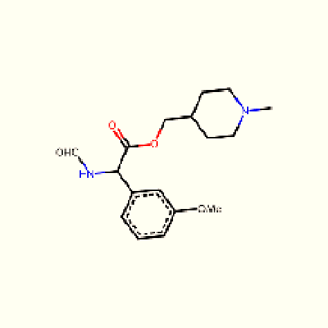 COc1cccc(C(NC=O)C(=O)OCC2CCN(C)CC2)c1